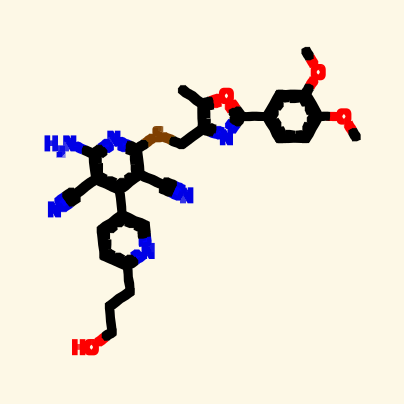 COc1ccc(-c2nc(CSc3nc(N)c(C#N)c(-c4ccc(CCCO)nc4)c3C#N)c(C)o2)cc1OC